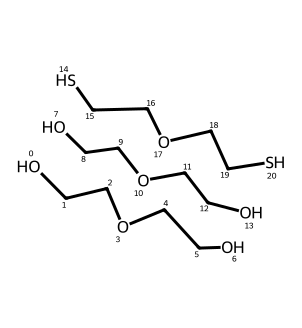 OCCOCCO.OCCOCCO.SCCOCCS